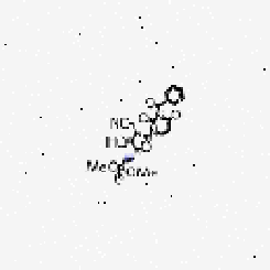 COP(=O)(/C=C/[C@H]1O[C@@H](n2ccc(=O)n(C(=O)c3ccccc3)c2=O)[C@H](CC#N)[C@@H]1O)OC